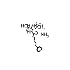 C[N+](C)(C)C[C@@H](CC(=O)O)NC(=O)CCCCCc1ccccc1.N